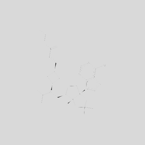 CCOC(=O)/C=C/[C@H]1C[C@@H](N(C[C@H]2OC[C@]3(n4cnc5c(N)ncnc54)OC(C)(C)O[C@H]23)C(C)C)C1